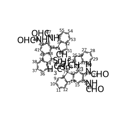 [CH3][Sn]([CH3])([Hf][Sn]([CH3])([CH3])[CH]1c2ccccc2-c2cc(NC=O)c(NC=O)c(C3C=Cc4ccccc43)c21)[CH]1c2ccccc2-c2cc(NC=O)c(NC=O)c(C3C=Cc4ccccc43)c21